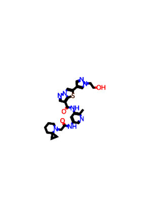 Cc1ncc(NC(=O)CN2CCCCC23CC3)cc1NC(=O)c1cnn2cc(-c3cnn(CCO)c3)sc12